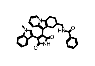 Cn1cc(C2=C(c3c4c(n5ccccc35)CCC(CNC(=O)c3ccccc3)C4)C(=O)NC2=O)c2ccccc21